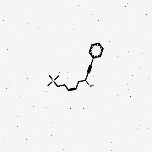 C[Si](C)(C)CC/C=C\C[C@H](O)C#Cc1ccccc1